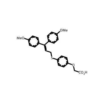 COc1ccc(C(=CCSc2ccc(OCC(=O)O)cc2)c2ccc(OC)cc2)cc1